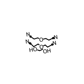 N#CCCOCCC#N.N#CCCOCCC#N.OCCO